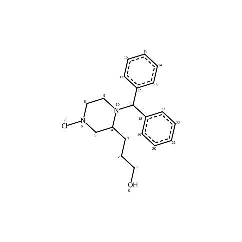 OCCCC1CN(Cl)CCN1C(c1ccccc1)c1ccccc1